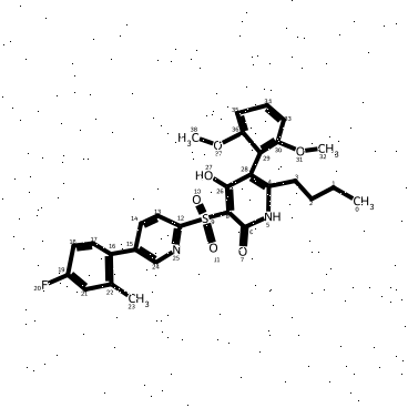 CCCCc1[nH]c(=O)c(S(=O)(=O)c2ccc(-c3ccc(F)cc3C)cn2)c(O)c1-c1c(OC)cccc1OC